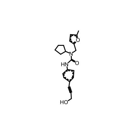 Cc1ccc(CN(C(=O)Nc2ccc(C#CCO)cc2)C2CCCC2)o1